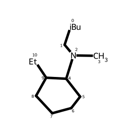 CCC(C)CN(C)C1CCCCC1CC